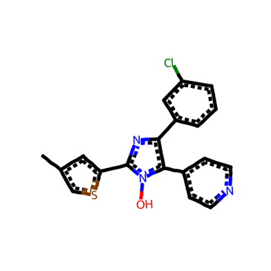 Cc1csc(-c2nc(-c3cccc(Cl)c3)c(-c3ccncc3)n2O)c1